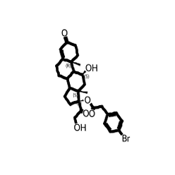 C[C@]12CCC(=O)C=C1CCC1C2[C@@H](O)C[C@@]2(C)C1CC[C@]2(OC(=O)Cc1ccc(Br)cc1)C(=O)CO